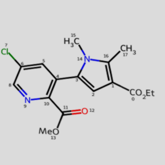 CCOC(=O)c1cc(-c2cc(Cl)cnc2C(=O)OC)n(C)c1C